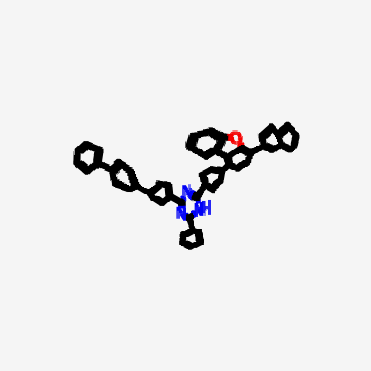 c1ccc(-c2ccc(-c3ccc(C4=NC(c5ccccc5)NC(c5ccc(-c6ccc(-c7ccc8ccccc8c7)c7oc8ccccc8c67)cc5)=N4)cc3)cc2)cc1